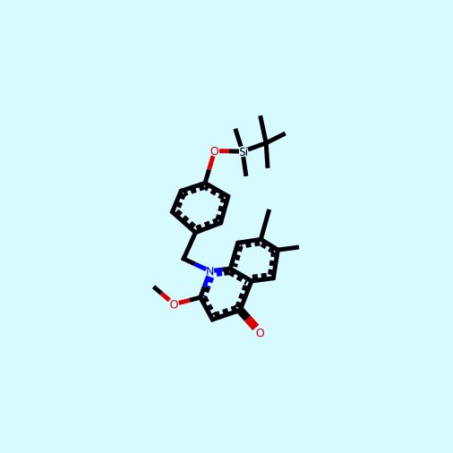 COc1cc(=O)c2cc(C)c(C)cc2n1Cc1ccc(O[Si](C)(C)C(C)(C)C)cc1